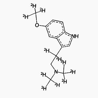 [2H]C([2H])([2H])Oc1ccc2[nH]cc(C([2H])([2H])CN(C([2H])([2H])[2H])C([2H])([2H])[2H])c2c1